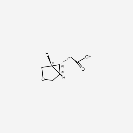 O=C(O)C[C@@H]1[C@@H]2COC[C@@H]21